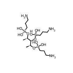 C[C@H](O[Si](O)(O)CCCN)[C@H](O[Si](O)(O)CCCN)[C@@H](C)O[Si](O)(O)CCCN